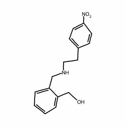 O=[N+]([O-])c1ccc(CCNCc2ccccc2CO)cc1